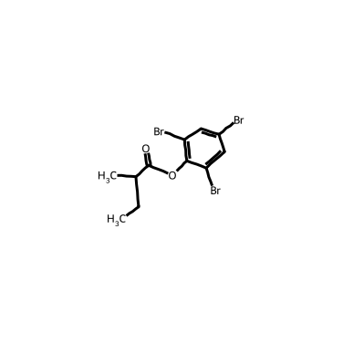 CCC(C)C(=O)Oc1c(Br)cc(Br)cc1Br